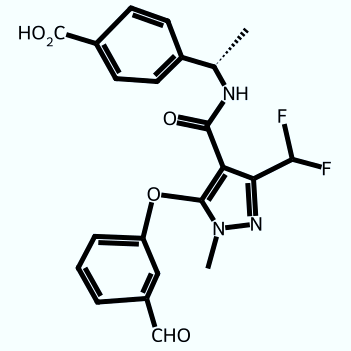 C[C@H](NC(=O)c1c(C(F)F)nn(C)c1Oc1cccc(C=O)c1)c1ccc(C(=O)O)cc1